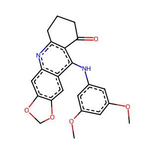 COc1cc(Nc2c3c(nc4cc5c(cc24)OCO5)CCCC3=O)cc(OC)c1